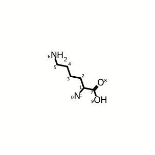 [N]C(CCCCN)C(=O)O